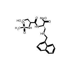 COC(=O)[C@H](CNCc1cccc2ccccc12)NC(=O)[C@H](CC(=O)O)NS(C)(=O)=O